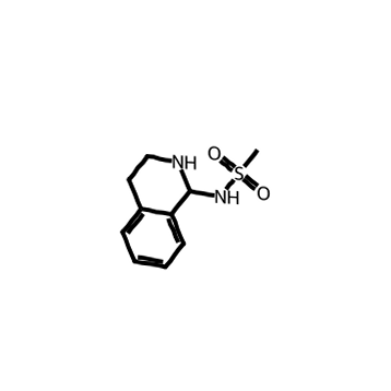 CS(=O)(=O)NC1NCCc2ccccc21